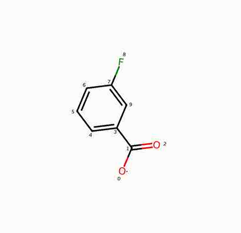 [O]C(=O)c1cccc(F)c1